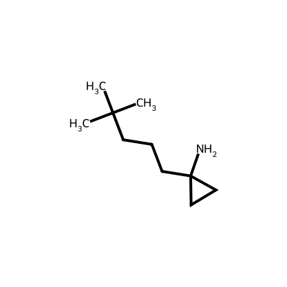 CC(C)(C)CCCC1(N)CC1